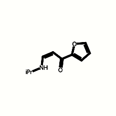 CC(C)N/C=C\C(=O)c1ccco1